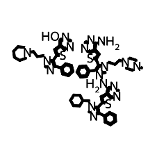 CN1CCN(CCCn2cnc(-c3ccccc3)c2-c2cc3c(N)ncnc3s2)CC1.Nc1ncnc2sc(-c3c(-c4ccccc4)ncn3CC3CCCCC3)cc12.Oc1ncnc2sc(-c3c(-c4ccccc4)ncn3CCCN3CCCCCC3)cc12